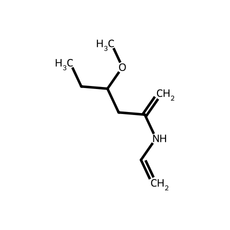 C=CNC(=C)CC(CC)OC